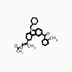 CC(=O)O/N=C(\C)c1ccc2c(c1)c1cc(C(=O)c3ccccc3C)ccc1n2CC1CCCCC1